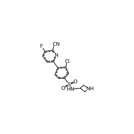 N#Cc1nc(-c2ccc(S(=O)(=O)NC3CNC3)cc2Cl)ccc1F